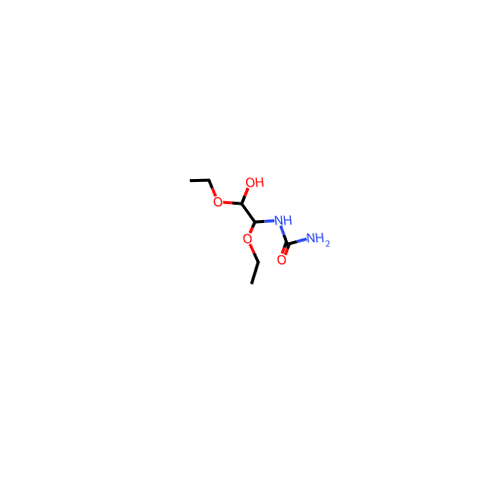 CCOC(O)C(NC(N)=O)OCC